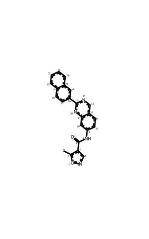 Cc1oncc1C(=O)Nc1ccc2cnc(-c3ccc4ccccc4c3)nc2c1